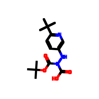 CC(C)(C)OC(=O)N(Nc1ccc(C(C)(C)C)nc1)C(=O)O